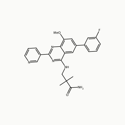 COc1cc(-c2cccc(F)c2)cc2c(NCC(C)(C)C(N)=O)nc(-c3cccnc3)nc12